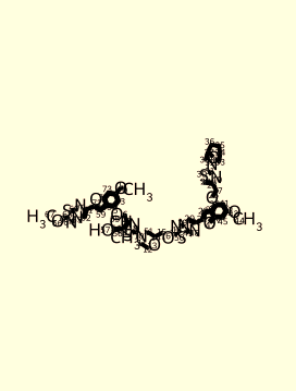 COc1cc(OCc2nc(N3CCOC(COc4nn5cc(-c6cc7c(OCc8csc(N9CC%10CCC(C9)O%10)n8)cc(OC)cc7o6)nc5s4)C3)sc2C(C)(C)O)c2cc(-c3cn4nc(OC)sc4n3)oc2c1